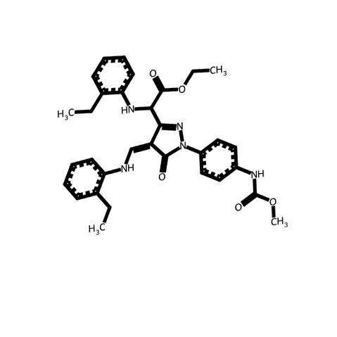 CCOC(=O)C(Nc1ccccc1CC)C1=NN(c2ccc(NC(=O)OC)cc2)C(=O)C1=CNc1ccccc1CC